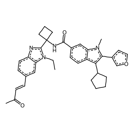 CCn1c(C2(NC(=O)c3ccc4c(C5CCCC5)c(-c5ccoc5)n(C)c4c3)CCC2)nc2ccc(/C=C/C(C)=O)cc21